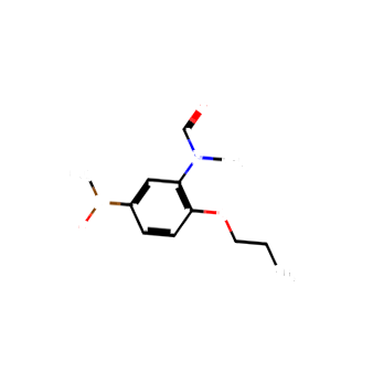 CCCOc1ccc([S+](C)[O-])cc1N(C)C=O